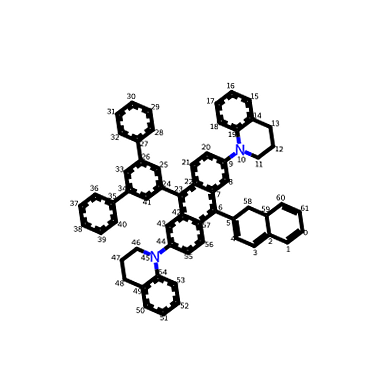 C1=CC2=CC=C(c3c4cc(N5CCCc6ccccc65)ccc4c(-c4cc(-c5ccccc5)cc(-c5ccccc5)c4)c4cc(N5CCCc6ccccc65)ccc34)CC2C=C1